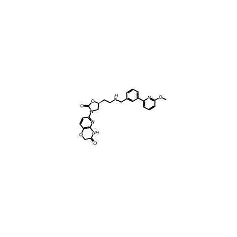 COc1cccc(-c2cccc(CNCC[C@H]3CN(c4ccc5c(n4)NC(=O)CO5)C(=O)O3)c2)n1